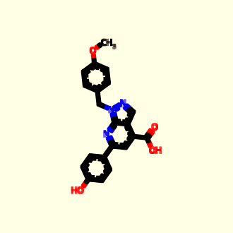 COc1ccc(Cn2ncc3c(C(=O)O)cc(-c4ccc(O)cc4)nc32)cc1